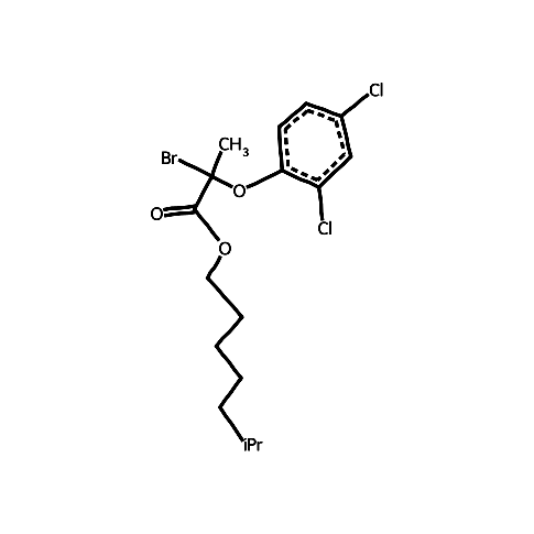 CC(C)CCCCCOC(=O)C(C)(Br)Oc1ccc(Cl)cc1Cl